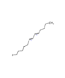 CCCC/C=C/C=C/CCCCCI